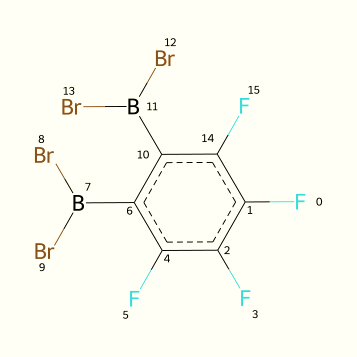 Fc1c(F)c(F)c(B(Br)Br)c(B(Br)Br)c1F